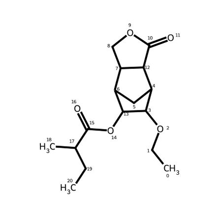 CCOC1C2CC(C3COC(=O)C32)C1OC(=O)C(C)CC